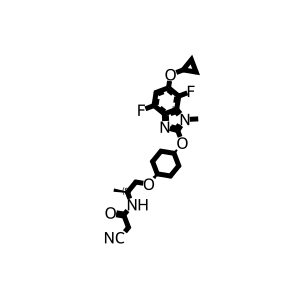 C[C@@H](CO[C@H]1CC[C@H](Oc2nc3c(F)cc(OC4CC4)c(F)c3n2C)CC1)NC(=O)CC#N